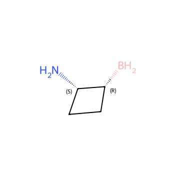 B[C@@H]1CC[C@@H]1N